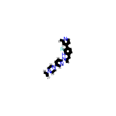 C=C(Cc1ccc(-c2ccnc(C)c2)c(F)c1)Nc1ccc(N2CCN(C(=C)C)CC2)cn1